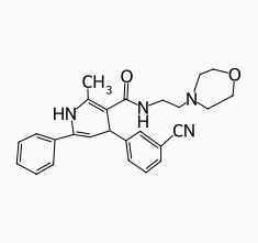 CC1=C(C(=O)NCCN2CCOCC2)C(c2cccc(C#N)c2)C=C(c2ccccc2)N1